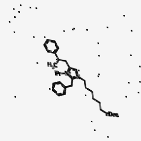 CCCCCCCCCCCCCCCCn1cc(CC(C)c2ccccc2)[n+](C(C)C)c1Cc1ccccc1